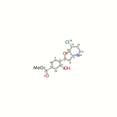 COC(=O)c1ccc(-c2cc3nccc(Cl)c3o2)c(O)c1